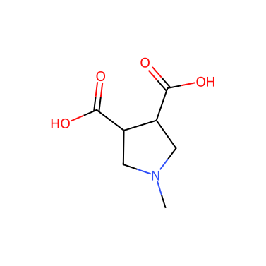 CN1CC(C(=O)O)C(C(=O)O)C1